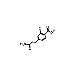 COC(=O)c1ccc(CCC(N)=O)cc1Cl